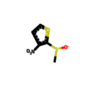 C[S+]([O-])c1sccc1[N+](=O)[O-]